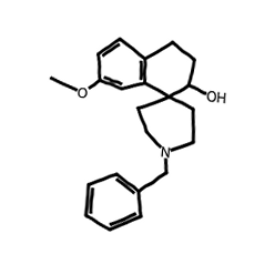 COc1ccc2c(c1)C1(CCN(Cc3ccccc3)CC1)C(O)CC2